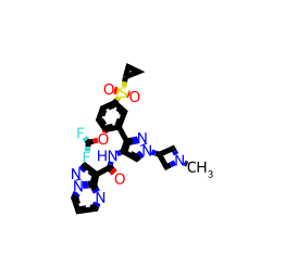 CN1CC(n2cc(NC(=O)c3cnn4cccnc34)c(-c3cc(S(=O)(=O)C4CC4)ccc3OC(F)F)n2)C1